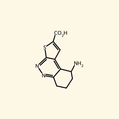 NC1CCCc2nnc3sc(C(=O)O)cc3c21